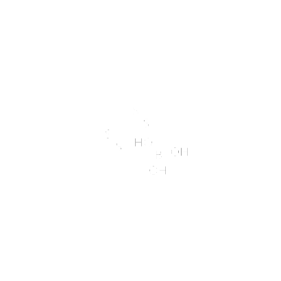 C1=CSSC1.C1=CSSC1.OB(O)O